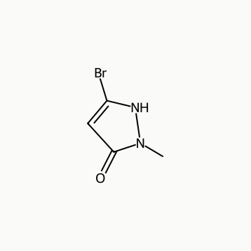 Cn1[nH]c(Br)cc1=O